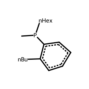 CCCCCCP(C)c1ccccc1CCCC